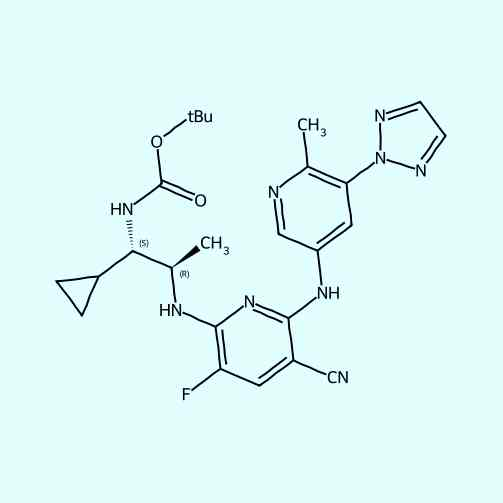 Cc1ncc(Nc2nc(N[C@H](C)[C@@H](NC(=O)OC(C)(C)C)C3CC3)c(F)cc2C#N)cc1-n1nccn1